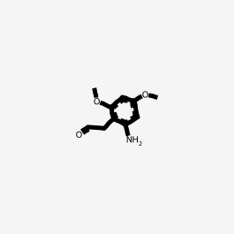 COc1cc(N)c(CC=O)c(OC)c1